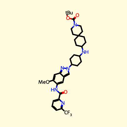 COc1cc2nn(C3CCC(NC4CCC5(CC4)CCN(C(=O)OC(C)(C)C)CC5)CC3)cc2cc1NC(=O)c1cccc(C(F)(F)F)n1